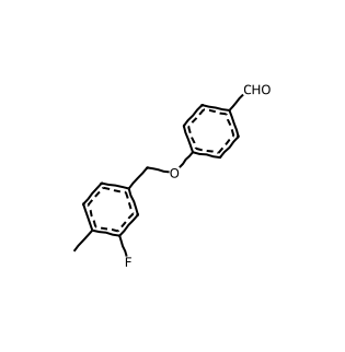 Cc1ccc(COc2ccc(C=O)cc2)cc1F